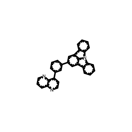 c1cc(-c2cc3c4ccccc4n4c5ccccc5c(c2)c34)cc(-c2ccnc3cccnc23)c1